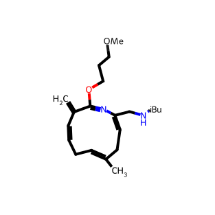 C=C1/C=C\C/C=C(\C)C/C=C(CNC(C)CC)\N=C/1OCCCOC